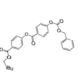 CCC(C)COC(=O)c1ccc(OC(=O)c2ccc(OC(=O)OCc3ccccc3)cc2)cc1